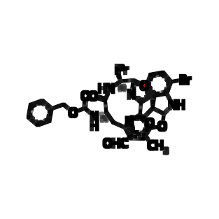 Cc1oc(-c2nc3oc2C24c5cc(ccc5OC2Nc2c(Br)cccc24)C[C@H](NC(=O)OCc2ccccc2)C(=O)N[C@H]3C(C)C)nc1C=O